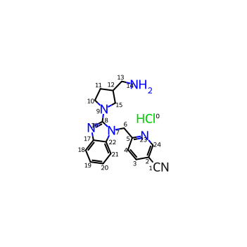 Cl.N#Cc1ccc(Cn2c(N3CCC(CN)C3)nc3ccccc32)nc1